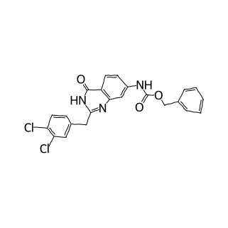 O=C(Nc1ccc2c(=O)[nH]c(Cc3ccc(Cl)c(Cl)c3)nc2c1)OCc1ccccc1